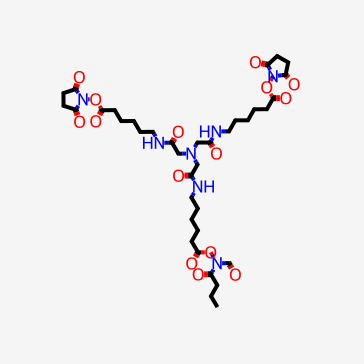 CCCC(=O)N(C=O)OC(=O)CCCCCNC(=O)CN(CC(=O)NCCCCCC(=O)ON1C(=O)CCC1=O)CC(=O)NCCCCCC(=O)ON1C(=O)CCC1=O